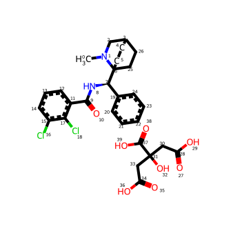 CN1CC2CCC1([C@H](NC(=O)c1cccc(Cl)c1Cl)c1ccccc1)CC2.O=C(O)CC(O)(CC(=O)O)C(=O)O